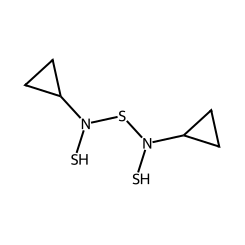 SN(SN(S)C1CC1)C1CC1